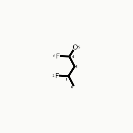 CC(F)CC([O])F